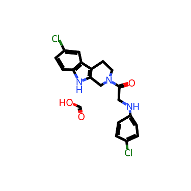 O=C(CNc1ccc(Cl)cc1)N1CCc2c([nH]c3ccc(Cl)cc23)C1.O=CO